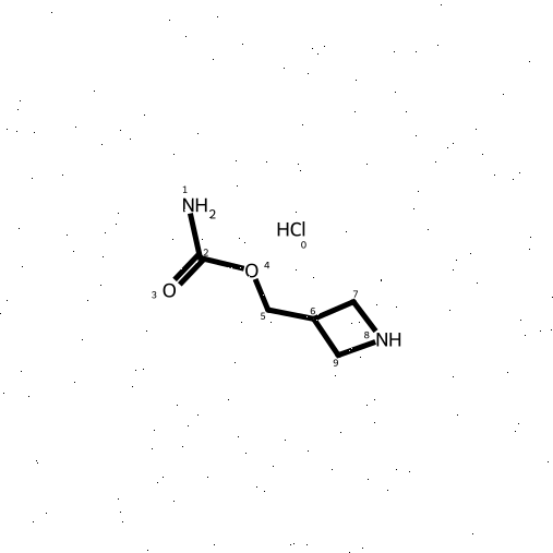 Cl.NC(=O)OCC1CNC1